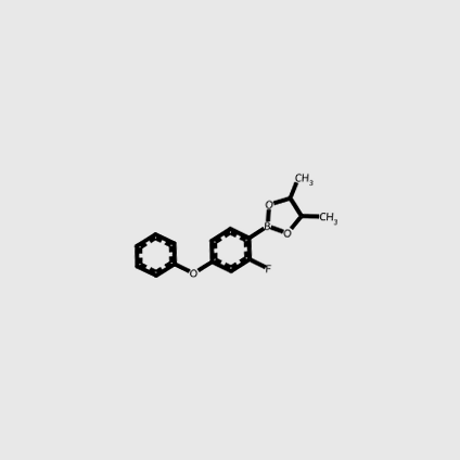 CC1OB(c2ccc(Oc3ccccc3)cc2F)OC1C